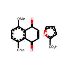 COc1ccc(OC)c2c1C(=O)C=CC2=O.O=C(O)c1ccco1